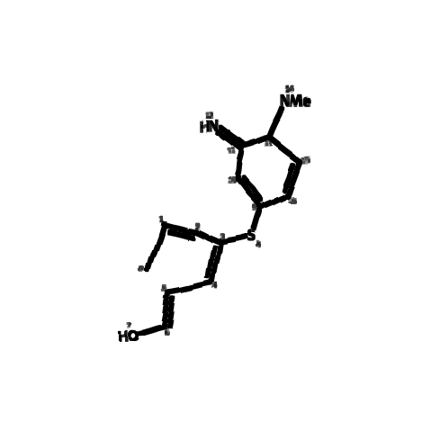 C\C=C/C(=C\C=C\O)SC1=CC(=N)C(NC)C=C1